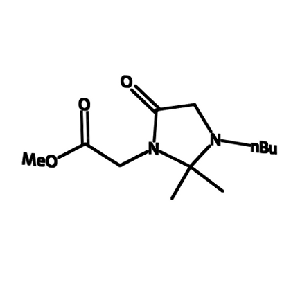 CCCCN1CC(=O)N(CC(=O)OC)C1(C)C